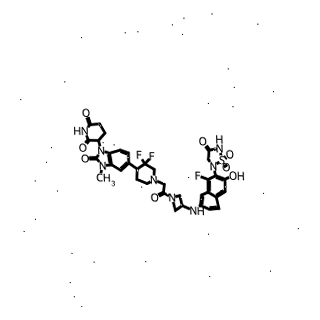 Cn1c(=O)n(C2CCC(=O)NC2=O)c2ccc(C3CCN(CC(=O)N4CC(Nc5ccc6cc(O)c(N7CC(=O)NS7(=O)=O)c(F)c6c5)C4)CC3(F)F)cc21